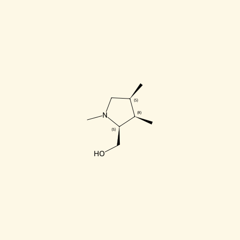 C[C@@H]1[C@H](C)CN(C)[C@@H]1CO